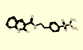 CN(C)S(=O)(=O)c1ccc(CCNC(=O)c2cc3ccccc3[nH]c2=O)cc1